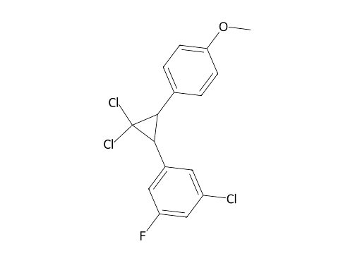 COc1ccc(C2C(c3cc(F)cc(Cl)c3)C2(Cl)Cl)cc1